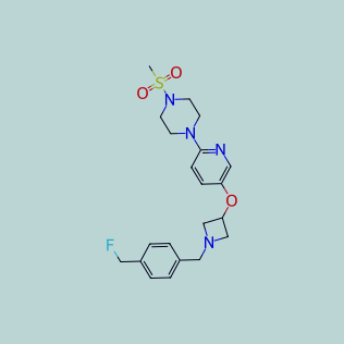 CS(=O)(=O)N1CCN(c2ccc(OC3CN(Cc4ccc(CF)cc4)C3)cn2)CC1